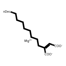 CCCCCCCCCCCCCCCCCCC(=CC(=O)[O-])C(=O)[O-].[Mg+2]